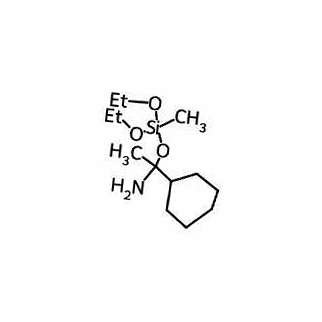 CCO[Si](C)(OCC)OC(C)(N)C1CCCCC1